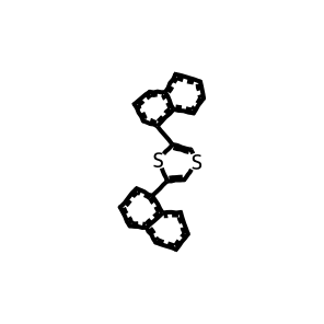 C1=C(c2cccc3ccccc23)SC(c2cccc3ccccc23)=CS1